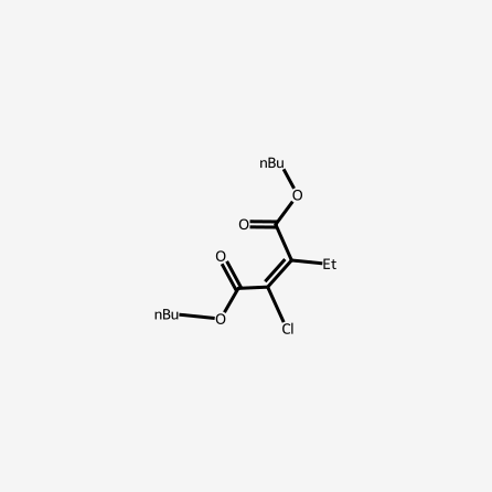 CCCCOC(=O)/C(Cl)=C(/CC)C(=O)OCCCC